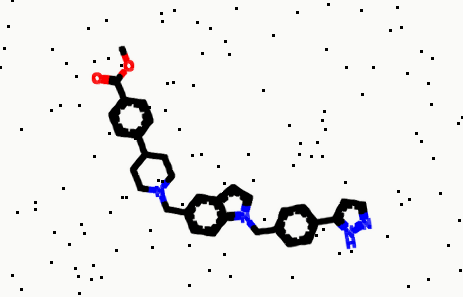 COC(=O)c1ccc(C2CCN(Cc3ccc4c(ccn4Cc4ccc(-c5ccn[nH]5)cc4)c3)CC2)cc1